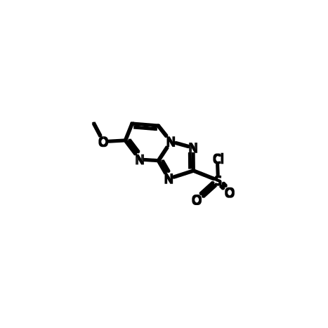 COc1ccn2nc(S(=O)(=O)Cl)nc2n1